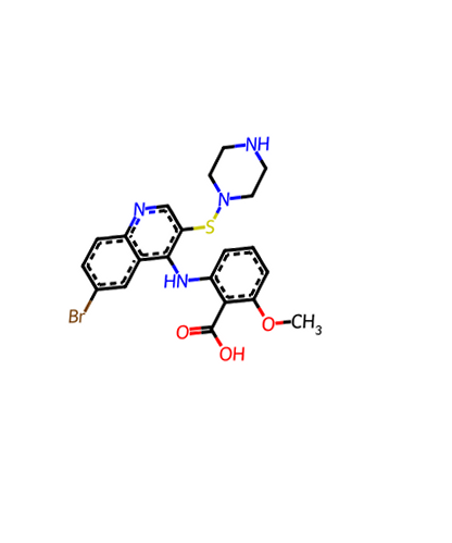 COc1cccc(Nc2c(SN3CCNCC3)cnc3ccc(Br)cc23)c1C(=O)O